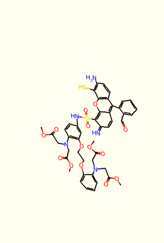 COC(=O)CN(CC(=O)OC)c1ccccc1OCCOc1cc(NS(=O)(=O)c2c3oc4c(S)c(N)ccc4c(-c4ccccc4C=O)c-3ccc2=N)ccc1N(CC(=O)OC)CC(=O)OC